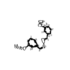 COc1cccc(/[C]=N\OCc2cccc(OC(F)(F)F)c2)c1